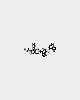 C[C@@H]1OCC2(CCN(c3ncc(Sc4ccnc5ccsc45)c4nccn34)CC2)[C@@H]1N